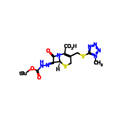 Cn1nnnc1SCC1=C(C(=O)O)N2C(=O)/C(=N\NC(=O)OC(C)(C)C)[C@@H]2SC1